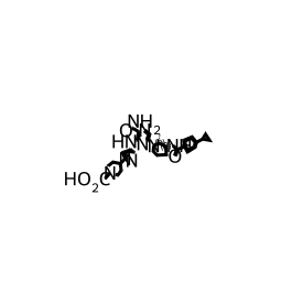 C[C@@H]1[C@H](NC(=O)c2ccc(C3CC3)cc2)CCCN1c1cnc(C(N)=O)c(Nc2cnn(C3CCN(C(=O)O)CC3)c2)n1